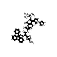 CC(C)(C)OC(=O)/C(C1=C(C(=O)O)N2C(=O)[C@@H](NC(=O)/C(=N\OC(c3ccccc3)(c3ccccc3)c3ccccc3)c3nsc(N)n3)[C@H]2SC1)=C1\CCN([C@@H]2CCNC2)C1=O